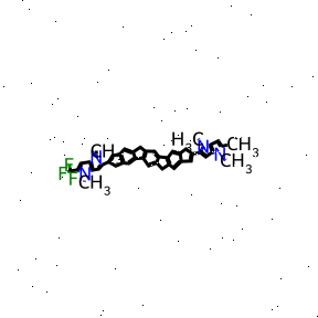 Cc1cc2c(cc(C3=Cc4cc5c(cc4C3)-c3cc4c(cc3C5)-c3cc5c(cc3C4)C=C(c3cc4c(cc(C(F)(F)F)n4C)n3C)C5)n2C)n1C